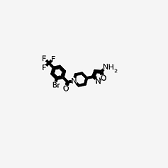 Nc1cc(C2CCN(C(=O)c3ccc(C(F)(F)F)cc3Br)CC2)no1